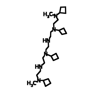 CN(CCNCCN(CCNCCN(CCN(C)C1CCC1)C1CCC1)C1CCC1)C1CCC1